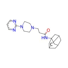 O=C(CCN1CCN(c2ncccn2)CC1)NC12CC3CC(CC(C3)C1)C2